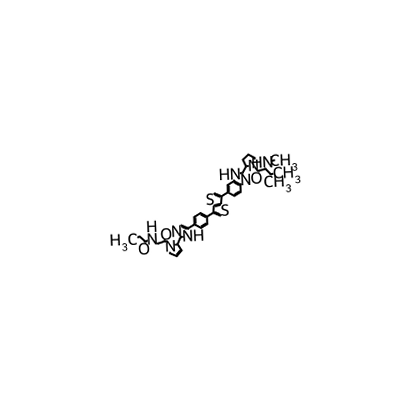 CCC(=O)NCC(=O)N1CC=CC1c1ncc(-c2ccc(-c3csc4c(-c5ccc6nc(C7CCCN7C(=O)C(NC)C(C)C)[nH]c6c5)csc34)cc2)[nH]1